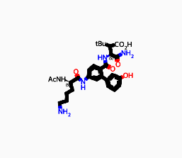 CC(=O)N[C@@H](CCCCN)C(=O)Nc1ccc(C(=O)N[C@H](C(N)=O)C(C(=O)O)C(C)(C)C)c(-c2cccc(O)c2)c1